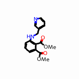 COC(=O)c1cccc(NCc2cccnc2)c1C(=O)OC